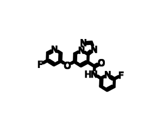 O=C(Nc1cccc(F)n1)c1cc(Oc2cncc(F)c2)cn2ncnc12